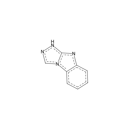 c1ccc2c(c1)nc1[nH]ncn12